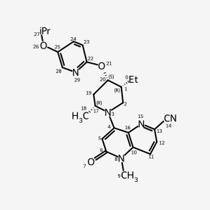 CC[C@@H]1CN(c2cc(=O)n(C)c3ccc(C#N)nc23)[C@H](C)C[C@@H]1Oc1ccc(OC(C)C)cn1